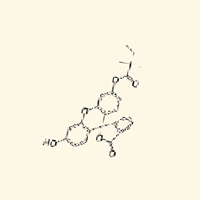 CCC(C)(C)C(=O)Oc1ccc2c(c1)Oc1cc(O)ccc1C21OC(=O)c2ccccc21